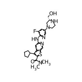 CN(C)C(=O)c1sc2cnc(Nc3ncc(N4CCN[C@@H](CO)C4)cc3F)cc2c1C1CCCC1